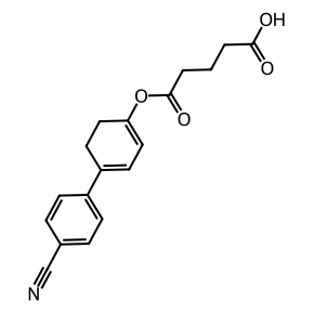 N#Cc1ccc(C2=CC=C(OC(=O)CCCC(=O)O)CC2)cc1